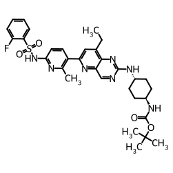 CCc1cc(-c2ccc(NS(=O)(=O)c3ccccc3F)nc2C)nc2cnc(N[C@H]3CC[C@H](NC(=O)OC(C)(C)C)CC3)nc12